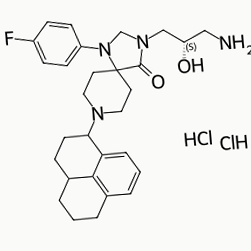 Cl.Cl.NC[C@H](O)CN1CN(c2ccc(F)cc2)C2(CCN(C3CCC4CCCc5cccc3c54)CC2)C1=O